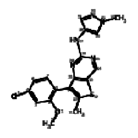 COc1cc(Cl)ccc1-c1c(C)sc2cnc(Nc3cnn(C)c3)nc12